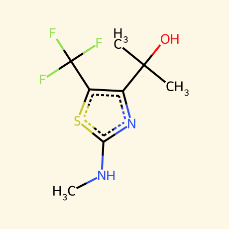 CNc1nc(C(C)(C)O)c(C(F)(F)F)s1